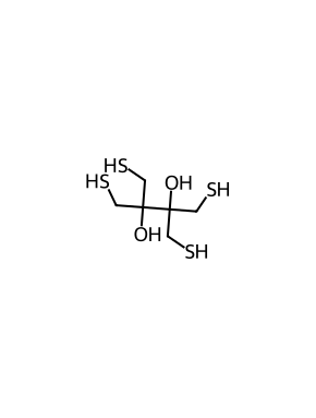 OC(CS)(CS)C(O)(CS)CS